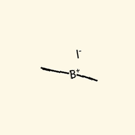 C[B+]C.[I-]